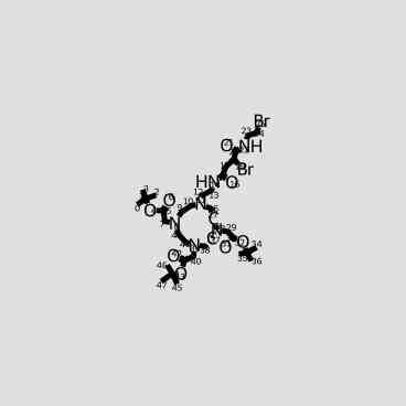 CC(C)(C)OC(=O)CN1CCN(CCNC(=O)CC(Br)C(=O)NCCBr)CCN(CC(=O)OC(C)(C)C)CCN(CC(=O)OC(C)(C)C)CC1